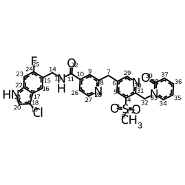 CS(=O)(=O)c1cc(Cc2cc(C(=O)NCc3cc4c(Cl)c[nH]c4cc3F)ccn2)cnc1Cn1ccccc1=O